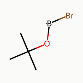 CC(C)(C)O[B]Br